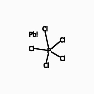 ClP(Cl)(Cl)(Cl)Cl.[Pb]